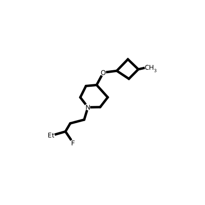 CCC(F)CCN1CCC(OC2CC(C)C2)CC1